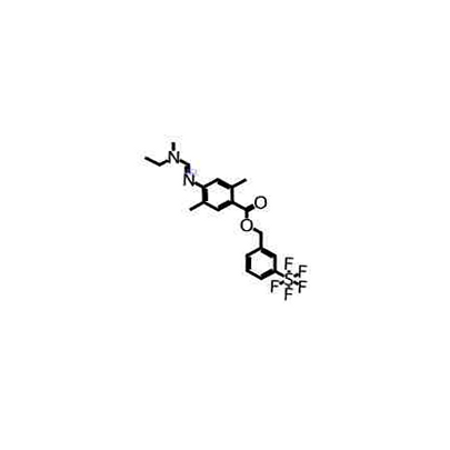 CCN(C)/C=N/c1cc(C)c(C(=O)OCc2cccc(S(F)(F)(F)(F)F)c2)cc1C